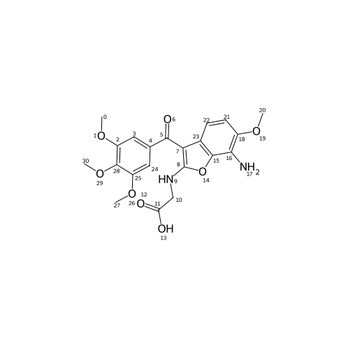 COc1cc(C(=O)c2c(NCC(=O)O)oc3c(N)c(OC)ccc23)cc(OC)c1OC